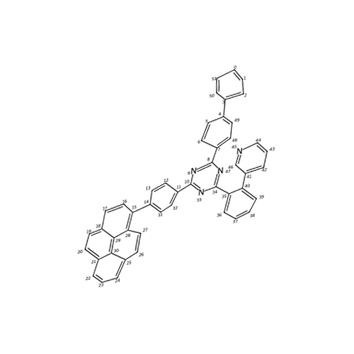 c1ccc(-c2ccc(-c3nc(-c4ccc(-c5ccc6ccc7cccc8ccc5c6c78)cc4)nc(-c4ccccc4-c4cccnc4)n3)cc2)cc1